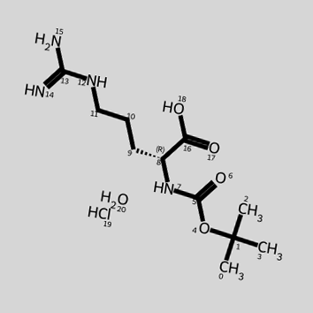 CC(C)(C)OC(=O)N[C@H](CCCNC(=N)N)C(=O)O.Cl.O